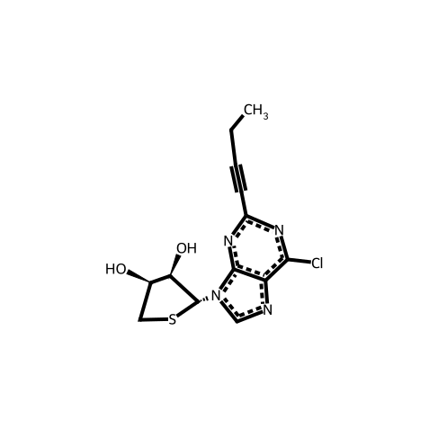 CCC#Cc1nc(Cl)c2ncn([C@@H]3SC[C@@H](O)[C@H]3O)c2n1